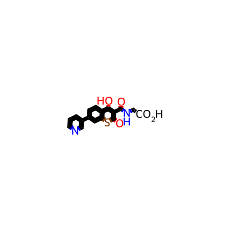 O=C(O)CNC(=O)c1c(O)c2ccc(-c3cccnc3)cc2sc1=O